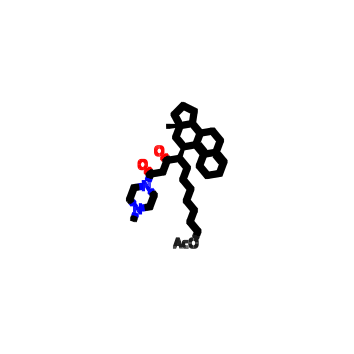 CC(=O)OCCCCCCCC(C(=O)CC(=O)N1CCN(C)CC1)[C@H]1C[C@]2(C)CCCC2C2CCC3=CCCCC3=C21